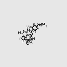 C[C@@H](NC(=O)c1ccc(CN)cc1)C(=O)N1CCC[C@H]1B(O)O